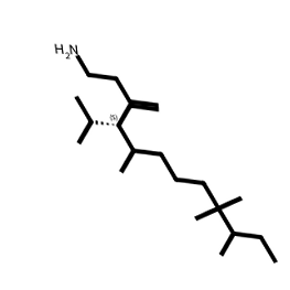 C=C(CCN)[C@@H](C(C)C)C(C)CCCC(C)(C)C(C)CC